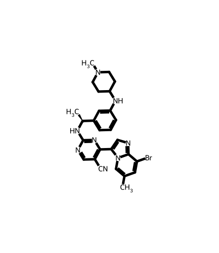 Cc1cc(Br)c2ncc(-c3nc(N[C@@H](C)c4cccc(NC5CCN(C)CC5)c4)ncc3C#N)n2c1